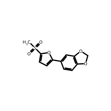 CS(=O)(=O)c1ccc(-c2ccc3c(c2)OCO3)o1